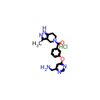 Cc1n[nH]c2c1CN(C(=O)c1cccc(Oc3cc(CN)ncn3)c1)CC2.Cl